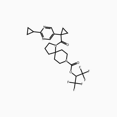 O=C(OC(C(F)(F)F)C(F)(F)F)N1CCC2(CCCN2C(=O)C2(c3cnc(C4CC4)nc3)CC2)CC1